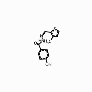 Cc1ccsc1/C=N\NC(=O)c1ccc(O)cc1